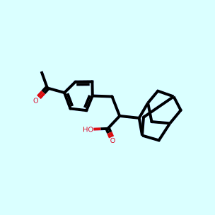 CC(=O)c1ccc(CC(C(=O)O)C2C3CC4CC(C3)CC2C4)cc1